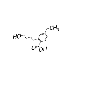 CCc1ccc(C(=O)O)c(CCCCO)c1